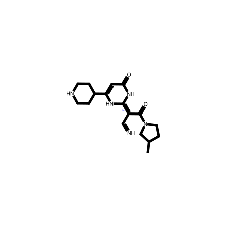 CC1CCN(C(=O)/C(C=N)=C2\NC(=O)C=C(C3CCNCC3)N2)C1